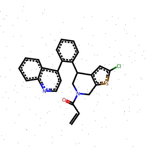 C=CC(=O)N1Cc2sc(Cl)cc2C(c2ccccc2-c2ccnc3ccccc23)C1